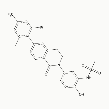 Cc1cc(C(F)(F)F)cc(Br)c1-c1ccc2c(c1)CCN(c1ccc(O)c(NS(C)(=O)=O)c1)C2=O